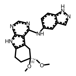 COC[C@]1(OC)CCc2[nH]c3ncnc(Nc4ccc5[nH]ncc5c4)c3c2C1